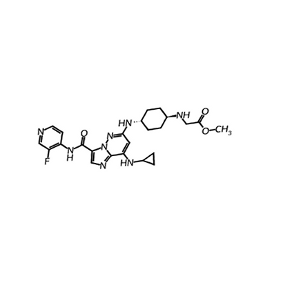 COC(=O)CN[C@H]1CC[C@H](Nc2cc(NC3CC3)c3ncc(C(=O)Nc4ccncc4F)n3n2)CC1